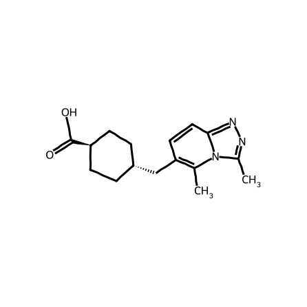 Cc1nnc2ccc(C[C@H]3CC[C@H](C(=O)O)CC3)c(C)n12